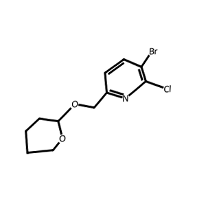 Clc1nc(COC2CCCCO2)ccc1Br